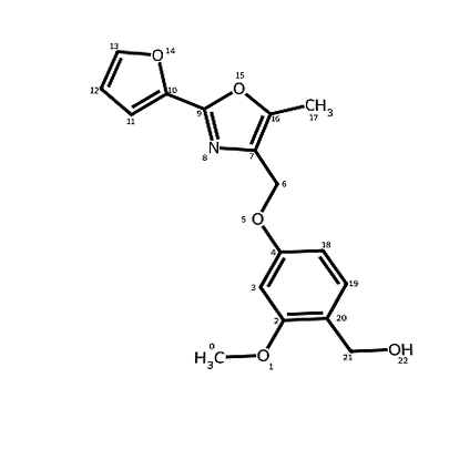 COc1cc(OCc2nc(-c3ccco3)oc2C)ccc1CO